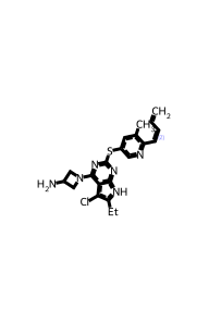 C=C/C=C\c1ncc(Sc2nc(N3CC(N)C3)c3c(Cl)c(CC)[nH]c3n2)cc1C